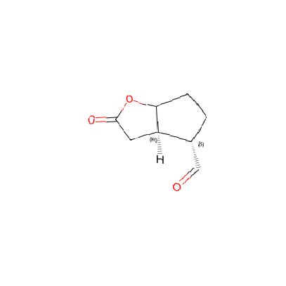 O=C[C@H]1CCC2OC(=O)C[C@@H]21